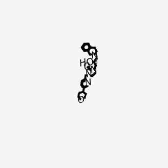 O=C1N(Cc2ccc(C3CCOCC3)cn2)CCN1C[C@H](O)CN1CCc2ccccc2C1